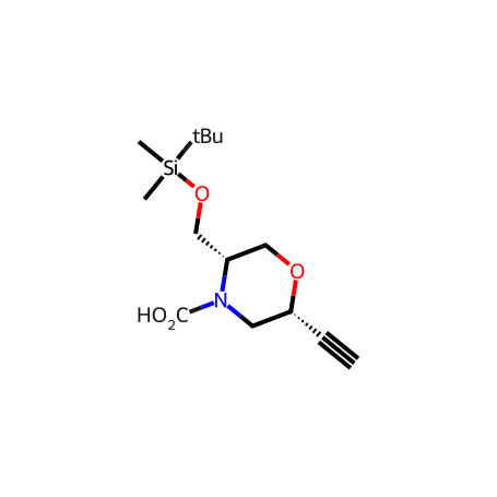 C#C[C@@H]1CN(C(=O)O)[C@H](CO[Si](C)(C)C(C)(C)C)CO1